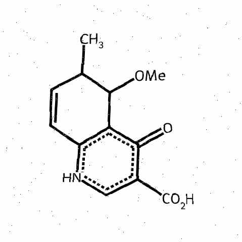 COC1c2c([nH]cc(C(=O)O)c2=O)C=CC1C